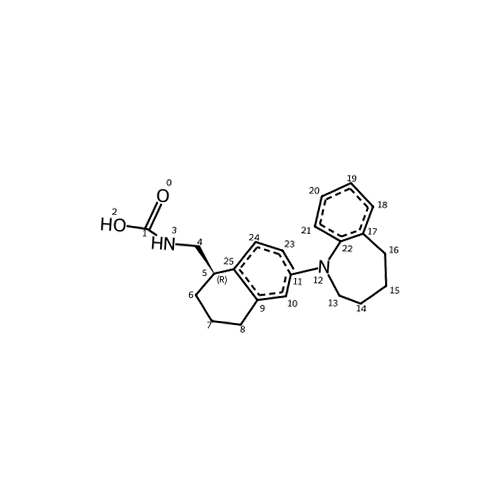 O=C(O)NC[C@@H]1CCCc2cc(N3CCCCc4ccccc43)ccc21